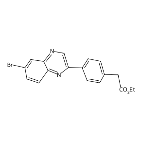 CCOC(=O)Cc1ccc(-c2cnc3cc(Br)ccc3n2)cc1